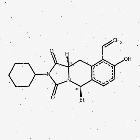 C=Cc1c(O)ccc2c1C[C@H]1C(=O)N(C3CCCCC3)C(=O)N1[C@@H]2CC